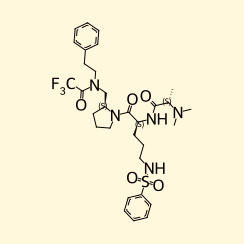 C[C@@H](C(=O)N[C@@H](CCCNS(=O)(=O)c1ccccc1)C(=O)N1CCC[C@H]1CN(CCc1ccccc1)C(=O)C(F)(F)F)N(C)C